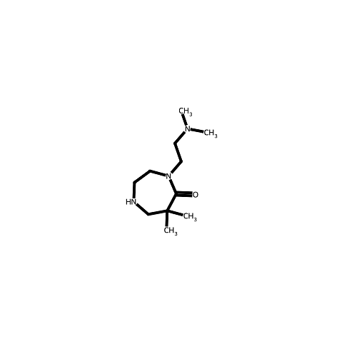 CN(C)CCN1CCNCC(C)(C)C1=O